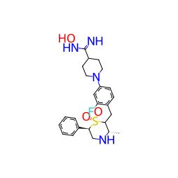 C[C@@H]1NC[C@@H](c2ccccc2)S(=O)(=O)C1Cc1ccc(N2CCC(C(=N)NO)CC2)cc1F